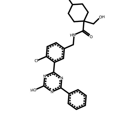 CC1CCC(CO)(C(=O)NCc2ccc(Cl)c(-c3nc(O)nc(-c4ccccc4)n3)c2)CC1